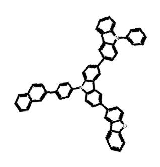 c1ccc(-n2c3ccccc3c3cc(-c4ccc5c(c4)c4cc(-c6ccc7oc8ccccc8c7c6)ccc4n5-c4ccc(-c5ccc6ccccc6c5)cc4)ccc32)cc1